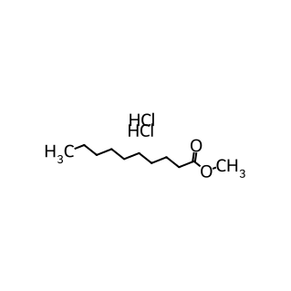 CCCCCCCCCC(=O)OC.Cl.Cl